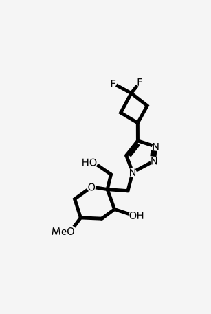 COC1COC(CO)(Cn2cc(C3CC(F)(F)C3)nn2)C(O)C1